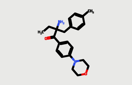 CCC(N)(Cc1ccc(C)cc1)C(=O)c1ccc(N2CCOCC2)cc1